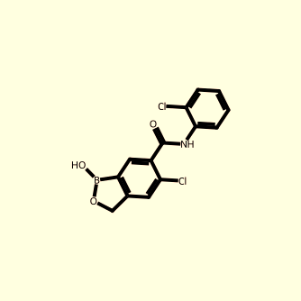 O=C(Nc1ccccc1Cl)c1cc2c(cc1Cl)COB2O